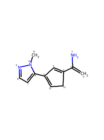 C=C(N)C1=CC(c2ccnn2C)=CC1